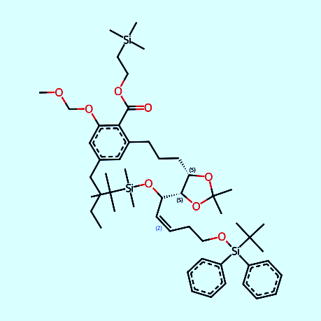 CCCCc1cc(CCC[C@@H]2OC(C)(C)O[C@@H]2C(/C=C\CCO[Si](c2ccccc2)(c2ccccc2)C(C)(C)C)O[Si](C)(C)C(C)(C)C)c(C(=O)OCC[Si](C)(C)C)c(OCOC)c1